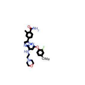 COc1ccc(Oc2cc(NCCN3CCOCC3)c3ncc(-c4ccc(C(N)=O)c(C)c4)n3n2)c(F)c1